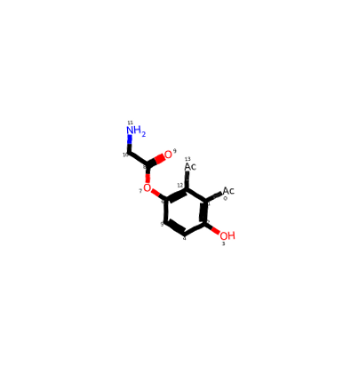 CC(=O)c1c(O)ccc(OC(=O)CN)c1C(C)=O